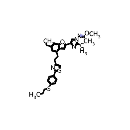 CCCSc1ccc(-c2nc(CCc3cc(CC)cc4oc(-c5cn(/N=C(\C)OC)c(C)n5)cc34)cs2)cc1